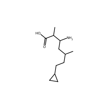 CC(CCC1CC1)CC(N)C(C)C(=O)O